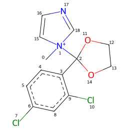 C[N+]1(C2(c3ccc(Cl)cc3Cl)OCCO2)C=CN=C1